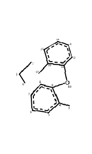 CCC.Cc1ccccc1Oc1ccccc1C